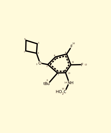 CC(C)(C)c1c(OC2CCC2)cc(F)c(F)c1NC(=O)O